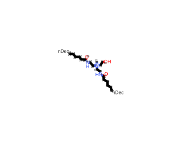 CCCCCCCCCCCCCCCC(=O)NCC[N+](C)(CCO)CCNC(=O)CCCCCCCCCCCCCCC